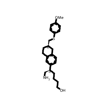 COc1ccc(SC[C@@H]2CCc3cc([C@H](CN)CCCCO)ccc3C2)cc1